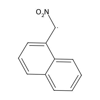 O=[N+]([O-])[CH]c1cccc2ccccc12